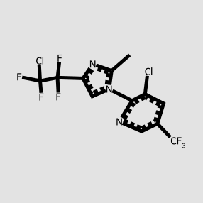 Cc1nc(C(F)(F)C(F)(F)Cl)cn1-c1ncc(C(F)(F)F)cc1Cl